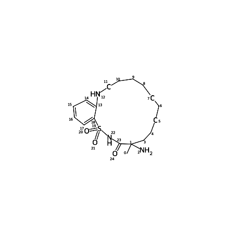 CC1(N)CCCCCCCCCNc2ccccc2S(=O)(=O)NC1=O